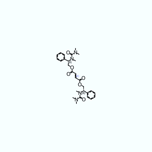 CN(C)C(=O)N(C)[C@@H](COC(=O)/C=C/C(=O)OC[C@@H](c1ccccc1)N(C)C(=O)N(C)C)c1ccccc1